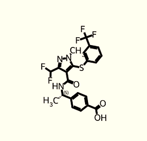 C[C@H](NC(=O)c1c(C(F)F)nn(C)c1Sc1cccc(C(F)(F)F)c1)c1ccc(C(=O)O)cc1